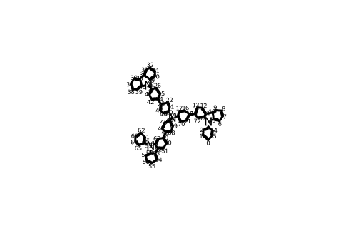 c1ccc(-n2c3ccccc3c3ccc(-c4ccc(N(c5ccc(-c6ccc(-n7c8ccccc8c8ccccc87)cc6)cc5)c5ccc(-c6ccc7c8ccccc8n(-c8ccccc8)c7c6)cc5)cc4)cc32)cc1